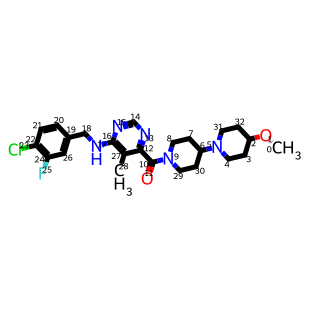 COC1CCN(C2CCN(C(=O)c3ncnc(NCc4ccc(Cl)c(F)c4)c3C)CC2)CC1